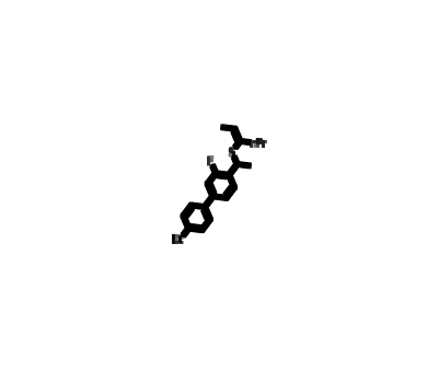 C/C=C(/CCC)SC(C)c1ccc(-c2ccc(CC)cc2)cc1F